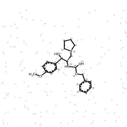 COc1ccc([C@@H](O)[C@@H](CN2CCCC2)NC(O)OCc2ccccc2)cc1